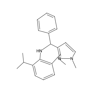 CC(C)c1cccc(C(C)C)c1NC(c1ccccc1)c1ccn(C)n1